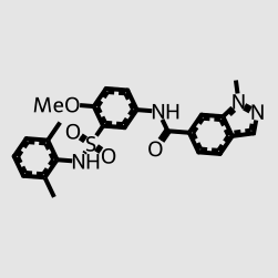 COc1ccc(NC(=O)c2ccc3cnn(C)c3c2)cc1S(=O)(=O)Nc1c(C)cccc1C